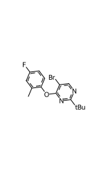 Cc1cc(F)ccc1Oc1nc(C(C)(C)C)ncc1Br